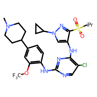 CC(C)S(=O)(=O)c1nn(C2CC2)cc1Nc1nc(Nc2ccc(C3CCN(C)CC3)cc2OC(F)(F)F)ncc1Cl